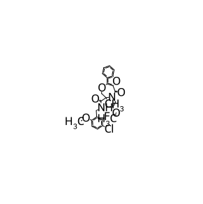 COCCN1C(=O)c2oc3ccccc3c2OCC1(C)C(=O)NCc1c(OC)ccc(Cl)c1F